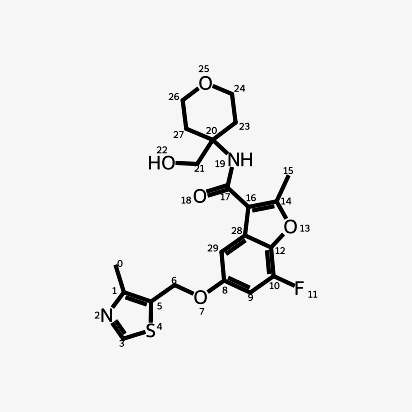 Cc1ncsc1COc1cc(F)c2oc(C)c(C(=O)NC3(CO)CCOCC3)c2c1